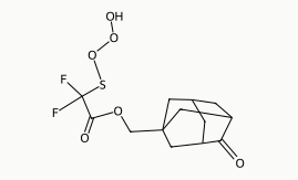 O=C1C2CC3CC1CC(COC(=O)C(F)(F)SOOO)(C3)C2